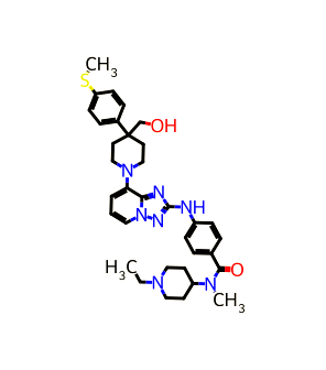 CCN1CCC(N(C)C(=O)c2ccc(Nc3nc4c(N5CCC(CO)(c6ccc(SC)cc6)CC5)cccn4n3)cc2)CC1